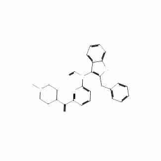 CN1CCC(C(=O)c2cccc(N(C=O)c3c(Cc4ccccc4)[nH]c4ccccc34)n2)CC1